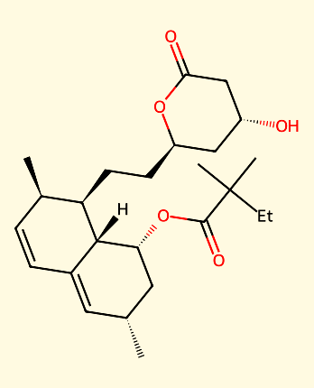 CCC(C)(C)C(=O)O[C@@H]1C[C@H](C)C=C2C=C[C@@H](C)[C@@H](CC[C@@H]3C[C@@H](O)CC(=O)O3)[C@@H]21